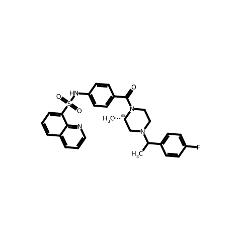 CC(c1ccc(F)cc1)N1CCN(C(=O)c2ccc(NS(=O)(=O)c3cccc4cccnc34)cc2)[C@@H](C)C1